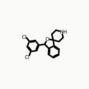 Clc1cc(Cl)cc(C2OC3(CCNCC3)c3ccccc32)c1